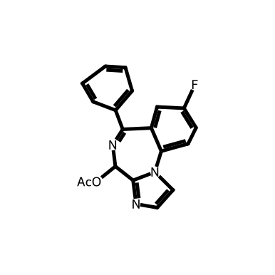 CC(=O)OC1N=C(c2ccccc2)c2cc(F)ccc2-n2ccnc21